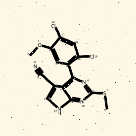 COc1cc(-c2nc(SC)nc3[nH]cc(C#N)c23)c(Cl)cc1Cl